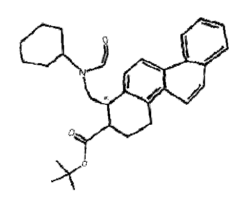 CC(C)(C)OC(=O)C1CCc2c(ccc3c2ccc2ccccc23)[C@@H]1CN(C=O)C1CCCCC1